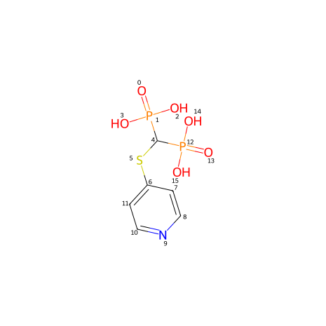 O=P(O)(O)C(Sc1ccncc1)P(=O)(O)O